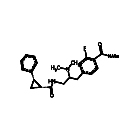 CNC(=O)c1ccc(CC(CNC(=O)[C@@H]2C[C@@H]2c2ccccc2)N(C)C)cc1F